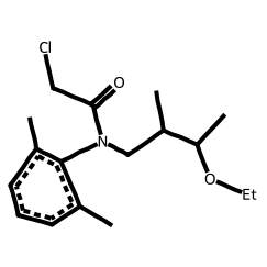 CCOC(C)C(C)CN(C(=O)CCl)c1c(C)cccc1C